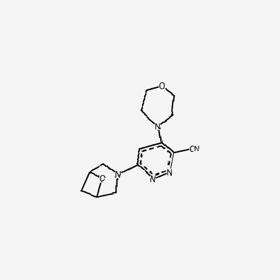 N#Cc1nnc(N2CC3CC(C2)O3)cc1N1CCOCC1